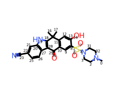 CN1CCN(S(=O)(=O)c2cc3c(cc2O)C(C)(C)c2[nH]c4cc(C#N)ccc4c2C3=O)CC1